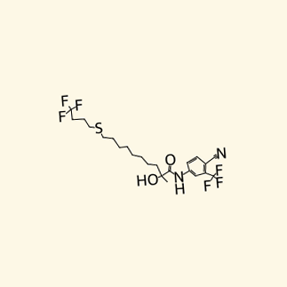 CC(O)(CCCCCCCCSCCCC(F)(F)F)C(=O)Nc1ccc(C#N)c(C(F)(F)F)c1